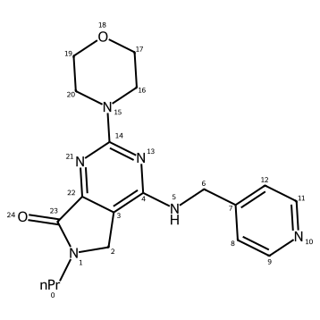 CCCN1Cc2c(NCc3ccncc3)nc(N3CCOCC3)nc2C1=O